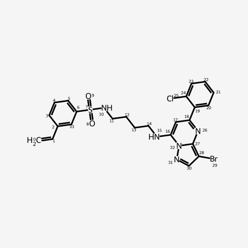 C=Cc1cccc(S(=O)(=O)NCCCCNc2cc(-c3ccccc3Cl)nc3c(Br)cnn23)c1